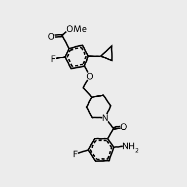 COC(=O)c1cc(C2CC2)c(OCC2CCN(C(=O)c3cc(F)ccc3N)CC2)cc1F